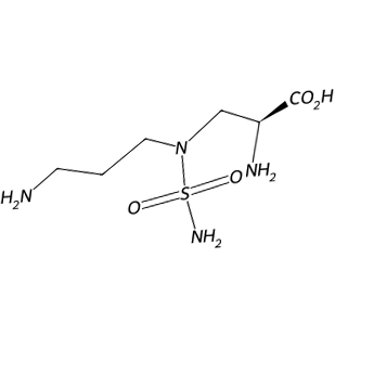 NCCCN(C[C@H](N)C(=O)O)S(N)(=O)=O